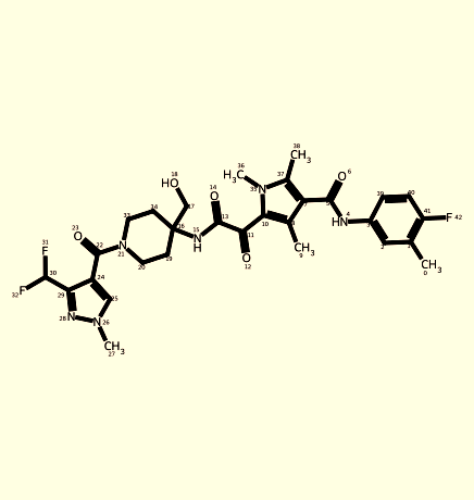 Cc1cc(NC(=O)c2c(C)c(C(=O)C(=O)NC3(CO)CCN(C(=O)c4cn(C)nc4C(F)F)CC3)n(C)c2C)ccc1F